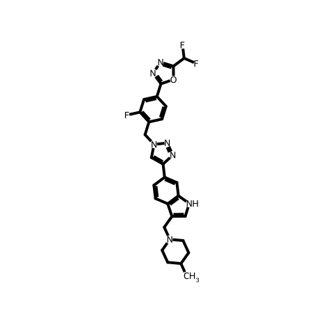 CC1CCN(Cc2c[nH]c3cc(-c4cn(Cc5ccc(-c6nnc(C(F)F)o6)cc5F)nn4)ccc23)CC1